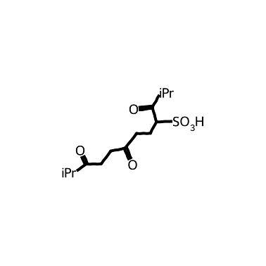 CC(C)C(=O)CCC(=O)CCC(C(=O)C(C)C)S(=O)(=O)O